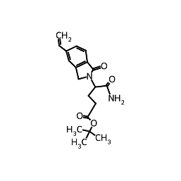 C=Cc1ccc2c(c1)CN(C(CCC(=O)OC(C)(C)C)C(N)=O)C2=O